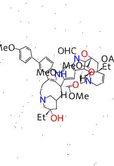 CC[C@]1(O)C[C@H]2CN(CCc3c([nH]c4ccc(-c5ccc(OC)cc5)cc34)[C@@](C(=O)OC)(c3cc4c(cc3OC)N(C=O)[C@@]35O[C@]3(C(=O)OC)[C@H](OC(C)=O)[C@]3(CC)C=CCN6CC[C@]45[C@@H]63)C2)C1